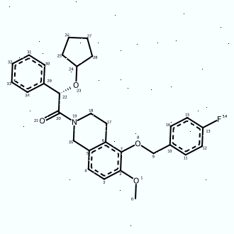 COc1ccc2c(c1OCc1ccc(F)cc1)CCN(C(=O)[C@@H](OC1CCCC1)c1ccccc1)C2